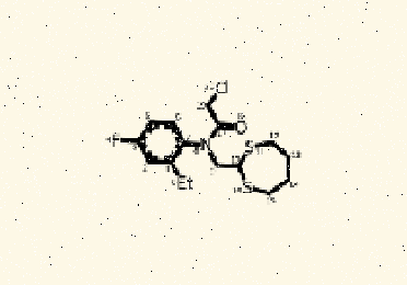 CCc1cc(F)ccc1N(CC1SCCCCS1)C(=O)CCl